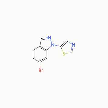 Brc1ccc2cnn(-c3cncs3)c2c1